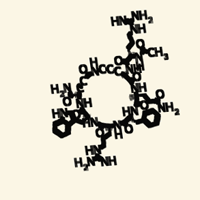 CC(=O)N[C@@H](CCCNC(=N)N)C(=O)N[C@H]1CCCNC(=O)CC[C@@H](C(N)=O)NC(=O)[C@H](Cc2c[nH]c3ccccc23)NC(=O)[C@H](CCCNC(=N)N)NC(=O)[C@@H](Cc2ccccc2)NC(=O)[C@H](CCC(N)=O)NC1=O